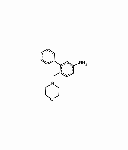 Nc1ccc(CN2CCOCC2)c(-c2ccccc2)c1